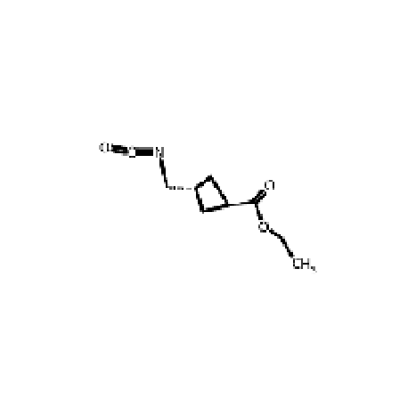 CCOC(=O)[C@H]1C[C@H](CN=C=O)C1